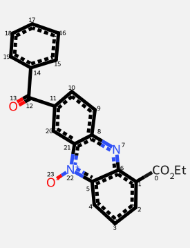 CCOC(=O)c1cccc2c1nc1ccc(C(=O)c3ccccc3)cc1[n+]2[O-]